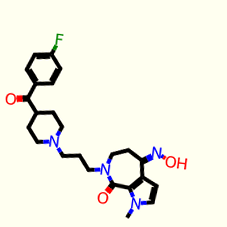 Cn1ccc2c1C(=O)N(CCCN1CCC(C(=O)c3ccc(F)cc3)CC1)CC/C2=N/O